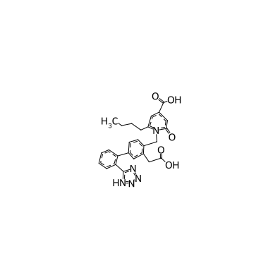 CCCCc1cc(C(=O)O)cc(=O)n1Cc1ccc(-c2ccccc2-c2nnn[nH]2)cc1CC(=O)O